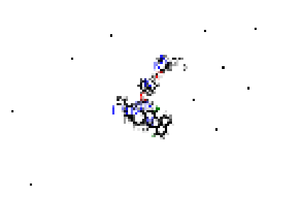 C#Cc1c(F)ccc2cccc(-c3nc4c5c(nc(OC[C@@]67CCCN6[C@H](COc6cc(C(F)(F)F)ncn6)CC7)nc5c3F)N3C[C@@H](CC)NC[C@H]3CC[C@H]4C)c12